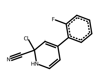 N#CC1(Cl)[C]=C(c2ccccc2F)C=CN1